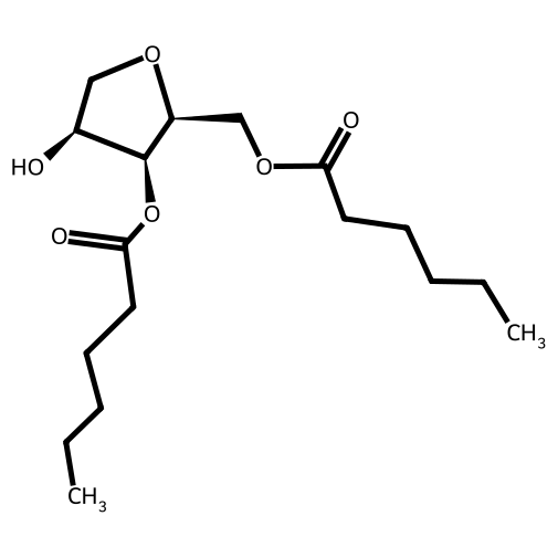 CCCCCC(=O)OC[C@@H]1OC[C@H](O)[C@@H]1OC(=O)CCCCC